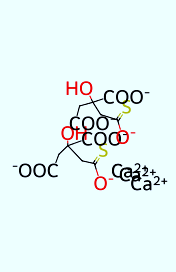 O=C([O-])CC(O)(CC([O-])=S)C(=O)[O-].O=C([O-])CC(O)(CC([O-])=S)C(=O)[O-].[Ca+2].[Ca+2].[Ca+2]